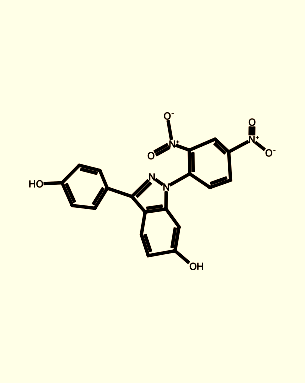 O=[N+]([O-])c1ccc(-n2nc(-c3ccc(O)cc3)c3ccc(O)cc32)c([N+](=O)[O-])c1